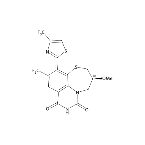 CO[C@@H]1CSc2c(-c3nc(C(F)(F)F)cs3)c(C(F)(F)F)cc3c(=O)[nH]c(=O)n(c23)C1